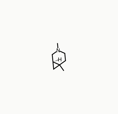 CN1CCC2(C)C[C@H]2C1